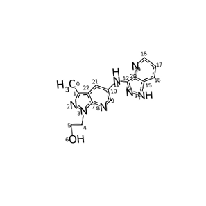 Cc1nn(CCO)c2ncc(Nc3n[nH]c4cccnc34)cc12